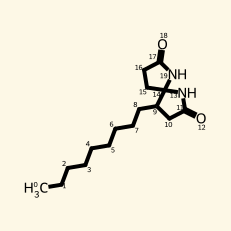 CCCCCCCCCC1CC(=O)NC12CCC(=O)N2